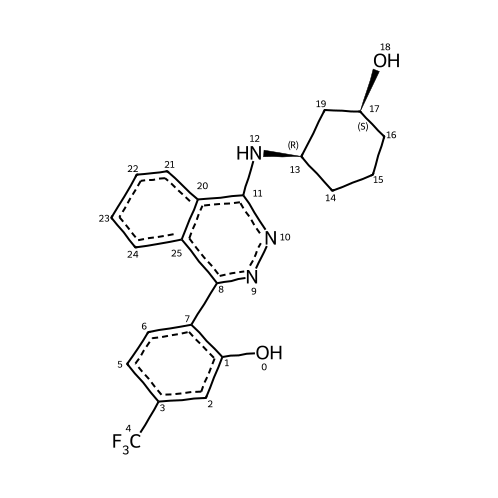 Oc1cc(C(F)(F)F)ccc1-c1nnc(N[C@@H]2CCC[C@H](O)C2)c2ccccc12